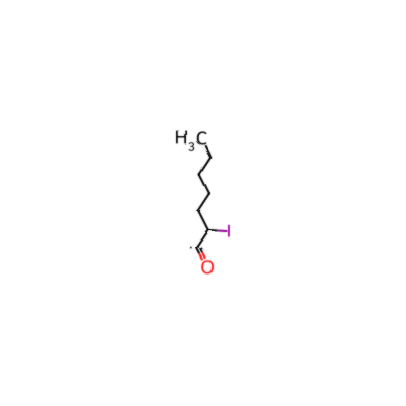 CCCCCC(I)[C]=O